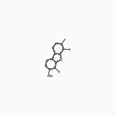 CCCCc1ccc2c(sc3c(F)c(C)ccc32)c1F